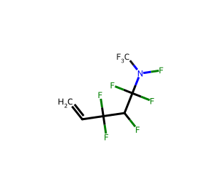 C=CC(F)(F)C(F)C(F)(F)N(F)C(F)(F)F